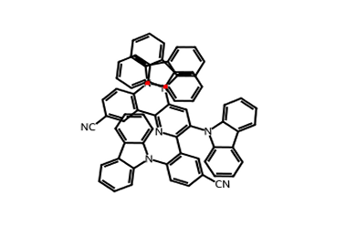 N#Cc1ccc(-n2c3ccccc3c3ccccc32)c(-c2nc(-c3cc(C#N)ccc3-n3c4ccccc4c4ccccc43)c(-n3c4ccccc4c4ccccc43)cc2-n2c3ccccc3c3ccccc32)c1